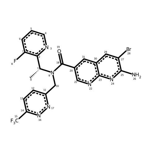 C[C@H](c1ncccc1F)N(Cc1ccc(C(F)(F)F)nn1)C(=O)c1cnc2nc(N)c(Br)cc2c1